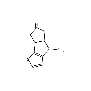 CC1c2ccsc2C2CNCC12